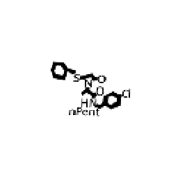 CCCCCC(NC(=O)C(C)N1C(=O)CC1SCc1ccccc1)c1ccc(Cl)cc1